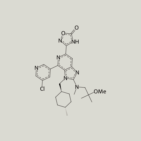 COC(C)(C)CN(C)c1nc2cc(-c3noc(=O)[nH]3)nc(-c3cncc(Cl)c3)c2n1C[C@H]1CC[C@H](C)CC1